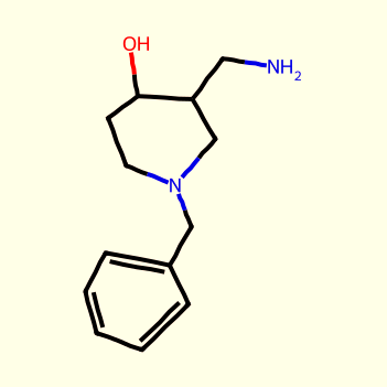 NCC1CN(Cc2ccccc2)CCC1O